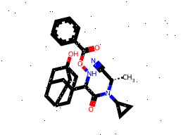 C[C@@H](C#N)N(C(=O)C(NOC(=O)c1ccccc1)C12CC3CC(CC(O)(C3)C1)C2)C1CC1